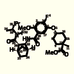 COc1cc(F)c(O[C@H]2CC[C@@](C)(C(=O)OC)CC2)cc1C(=O)N[C@@H]1[C@H]2CC[C@H](C2)[C@@H]1C(=O)N(F)[C@@H](C)C(C)C